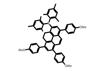 COc1ccc(-c2cc(-c3ccc(OC)cc3)c3ccc4c(-c5ccc(OC)cc5)cc(B(c5c(C)cc(C)cc5C)c5c(C)cc(C)cc5C)c5c4c3c2CC5)cc1